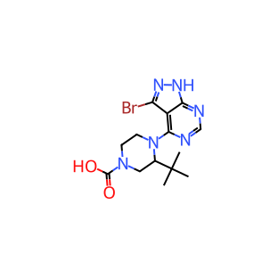 CC(C)(C)C1CN(C(=O)O)CCN1c1ncnc2[nH]nc(Br)c12